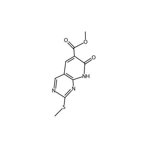 COC(=O)c1cc2cnc(SC)nc2[nH]c1=O